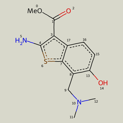 COC(=O)c1c(N)sc2c(CN(C)C)c(O)ccc12